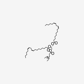 CCCCC/C=C\C/C=C\CCCCCCCC(=O)OC[C@H](COC(=O)CCN(CC)CC)OC(=O)CCCCCCC/C=C\C/C=C\CCCCC